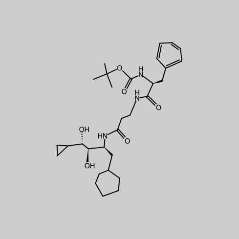 CC(C)(C)OC(=O)N[C@@H](Cc1ccccc1)C(=O)NCCC(=O)N[C@@H](CC1CCCCC1)[C@@H](O)[C@@H](O)C1CC1